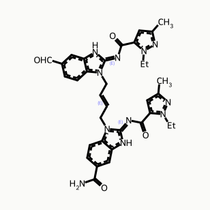 CCn1nc(C)cc1C(=O)/N=c1\[nH]c2cc(C=O)ccc2n1C/C=C/Cn1/c(=N/C(=O)c2cc(C)nn2CC)[nH]c2cc(C(N)=O)ccc21